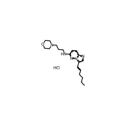 CCCCC=Cc1cnc2ccc(NCCCN3CCOCC3)nn12.Cl